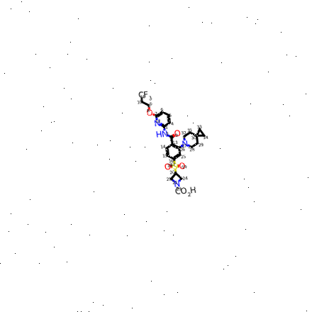 O=C(Nc1cccc(OCCC(F)(F)F)n1)c1ccc(S(=O)(=O)C2CN(C(=O)O)C2)cc1N1CCC2(CC1)CC2